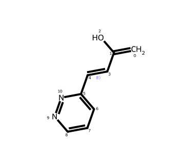 C=C(O)/C=C/c1cccnn1